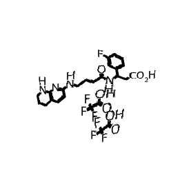 O=C(O)C(F)(F)F.O=C(O)C(F)(F)F.O=C(O)CC(NC(=O)CCCNc1ccc2c(n1)NCCC2)c1cccc(F)c1